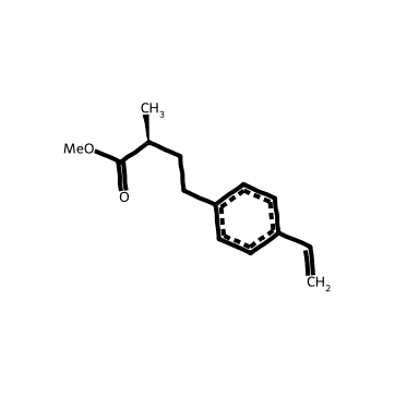 C=Cc1ccc(CC[C@H](C)C(=O)OC)cc1